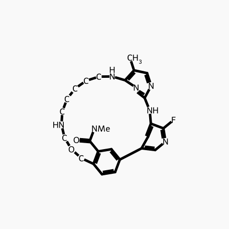 CNC(=O)c1cc2ccc1COCNCCCCCNc1nc(ncc1C)Nc1cc-2cnc1F